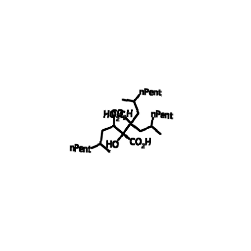 CCCCCC(C)CC(C(=O)O)C(O)(C(=O)O)C(CC(C)CCCCC)(CC(C)CCCCC)C(=O)O